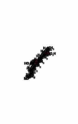 CCC(C)(C)C(F)(F)C(F)(F)C(C)(CC)C(C)(CC)C(F)(OC(F)(F)C(F)(F)S(=O)(=O)O)C(F)(F)C(C)(CC)C(C)(C)C(F)(F)C(F)(F)C(C)(CC)C(C)(CC)C(F)(OC(F)(F)C(F)(F)C(F)(F)C(F)(F)S(=O)(=O)O)C(F)(F)C(C)(CC)C(C)(C)C(F)(F)C(F)(F)C(C)(CC)C(C)(C)C(F)(OC(CC)(CC)C(F)(F)C(F)(OC(C)(CC)C(F)(F)C(F)(F)C#N)C(F)(F)F)C(F)F